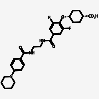 O=C(NCCNC(=O)c1cc(F)c(O[C@H]2CC[C@@H](C(=O)O)CC2)c(F)c1)c1ccc(N2CCCCC2)cc1